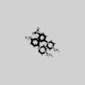 CN1CCN(c2ccc(N)cc2)CC1.CN1CCN(c2ccc([N+](=O)[O-])cc2)CC1